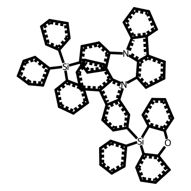 c1ccc([Si](c2ccccc2)(c2ccccc2)c2ccc(-n3c4ccccc4c4cccc(-n5c6ccccc6c6ccc([Si]7(c8ccccc8)c8ccccc8Oc8ccccc87)cc65)c43)cc2)cc1